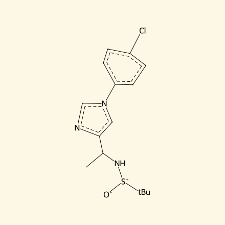 CC(N[S+]([O-])C(C)(C)C)c1cn(-c2ccc(Cl)cc2)cn1